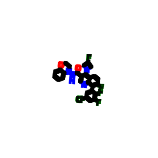 O=C(NN1CCOc2ccccc21)c1cnc2c(-c3cc(Cl)cc(F)c3F)c(F)ccc2c1N1CC(F)C1